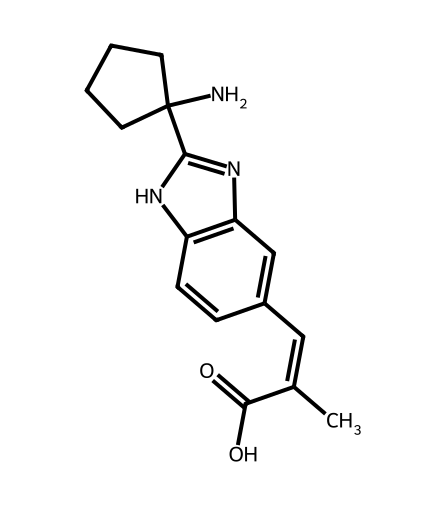 C/C(=C/c1ccc2[nH]c(C3(N)CCCC3)nc2c1)C(=O)O